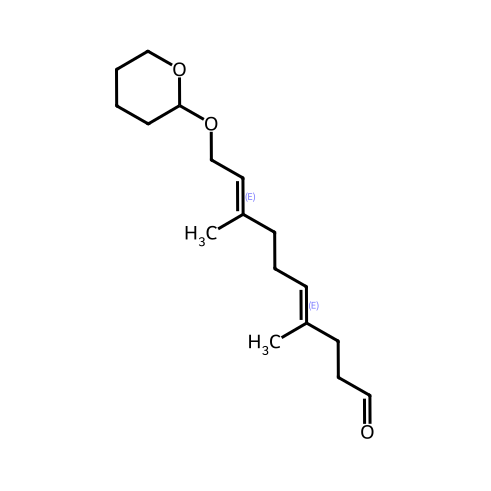 C/C(=C\CC/C(C)=C/COC1CCCCO1)CCC=O